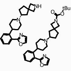 CC(C)(C)OC(=O)N1CC2(CC[C@@H](N3CCC(c4ccccc4-c4ncco4)CC3)C2)C1.c1ccc(C2CCN([C@@H]3CCC4(CNC4)C3)CC2)c(-c2ncco2)c1